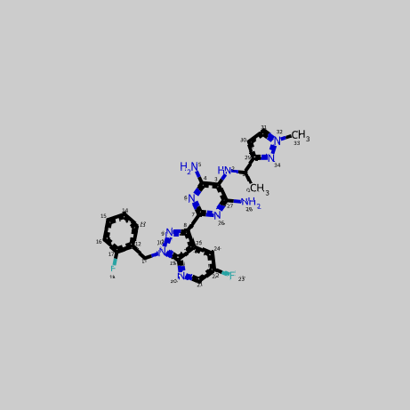 CC(Nc1c(N)nc(-c2nn(Cc3ccccc3F)c3ncc(F)cc23)nc1N)c1ccn(C)n1